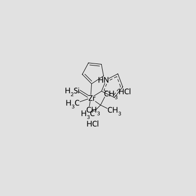 C[C](C)(C)[Zr]([CH3])([CH3])(=[SiH2])([C]1=CC=CC1)[c]1ccc[nH]1.Cl.Cl